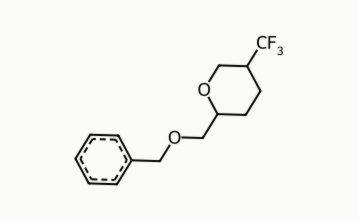 FC(F)(F)C1CCC(COCc2ccccc2)OC1